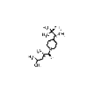 CC(C)C[C@@H](N)C(=O)N1CCC([C@@H](C)C(C)(C)C)CC1